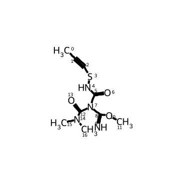 CC#CSNC(=O)N(C(=N)OC)C(=O)N(C)C